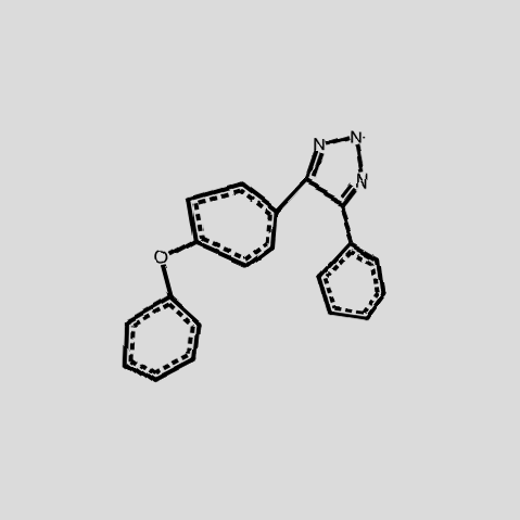 c1ccc(Oc2ccc(C3=N[N]N=C3c3ccccc3)cc2)cc1